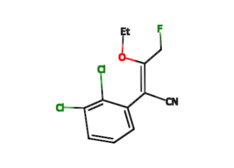 CCOC(CF)=C(C#N)c1cccc(Cl)c1Cl